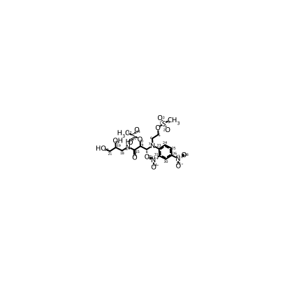 CS(=O)(=O)OCCN(CC(OS(C)(=O)=O)C(=O)NCC(O)CO)c1ccc([N+](=O)[O-])cc1[N+](=O)[O-]